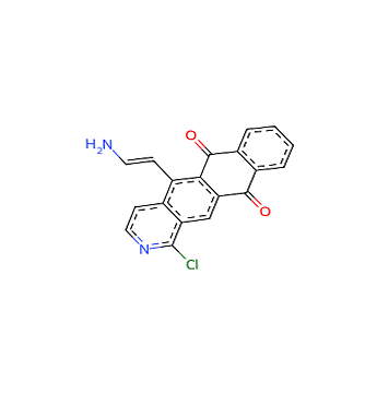 N/C=C/c1c2c(cc3c(Cl)nccc13)C(=O)c1ccccc1C2=O